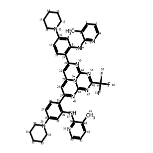 Cc1cccnc1Nc1cc(N2CCCCC2)ccc1C1=CC2=CC(c3ccc(N4CCCCC4)cc3Nc3ncccc3C)=NC3=NC(C(F)(F)F)=NC(=N1)N23